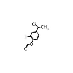 CC(Cl)c1ccc(OC=O)c(I)c1